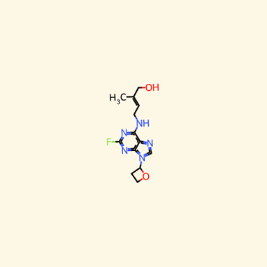 C/C(=C\CNc1nc(F)nc2c1ncn2C1CCO1)CO